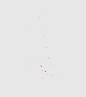 Cc1c(Oc2ccc(C#N)cc2Cl)ncnc1OC1CC2CCC(C1)N2S(=O)(=O)C1CC1